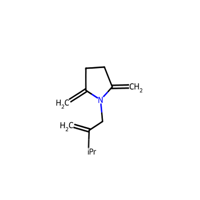 C=C(CN1C(=C)CCC1=C)C(C)C